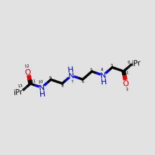 CC(C)C(=O)CNCCNCCNC(=O)C(C)C